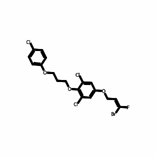 F/C(Br)=C/COc1cc(Cl)c(OCCCOc2ccc(Cl)cc2)c(Cl)c1